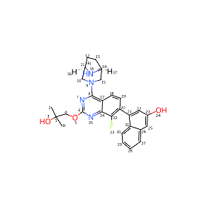 CC(C)(O)COc1nc(N2C[C@H]3CC[C@@H](C2)N3)c2ccc(-c3cc(O)cc4ccccc34)c(F)c2n1